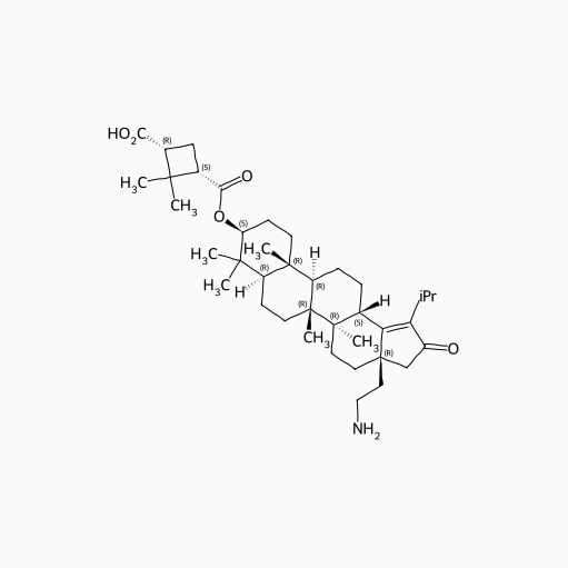 CC(C)C1=C2[C@H]3CC[C@@H]4[C@@]5(C)CC[C@H](OC(=O)[C@H]6C[C@@H](C(=O)O)C6(C)C)C(C)(C)[C@@H]5CC[C@@]4(C)[C@]3(C)CC[C@@]2(CCN)CC1=O